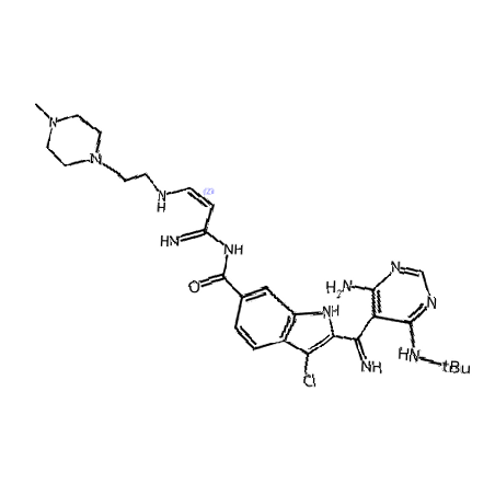 CN1CCN(CCN/C=C\C(=N)NC(=O)c2ccc3c(Cl)c(C(=N)c4c(N)ncnc4NC(C)(C)C)[nH]c3c2)CC1